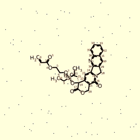 C=CC(=O)OCCO[Si](CC)(CC)O[C@]1(CC)C(=O)OCc2c1cc1n(c2=O)Cc2cc3ccccc3nc2-1